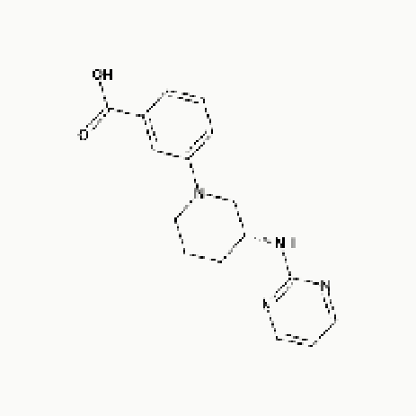 O=C(O)c1cccc(N2CCC[C@@H](Nc3ncccn3)C2)c1